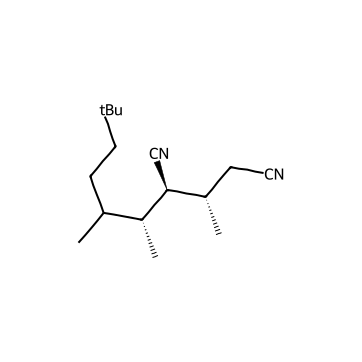 CC(CCC(C)(C)C)[C@@H](C)[C@@H](C#N)[C@@H](C)CC#N